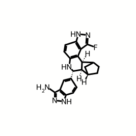 Nc1n[nH]c2ccc([C@@H]3Nc4ccc5[nH]nc(F)c5c4[C@H]4C5CC[C@@H](C5)[C@@H]34)cc12